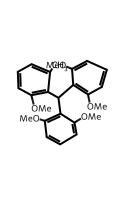 COc1cccc(C)c1C(c1c(OC)cccc1OC)c1c(OC)cccc1OC